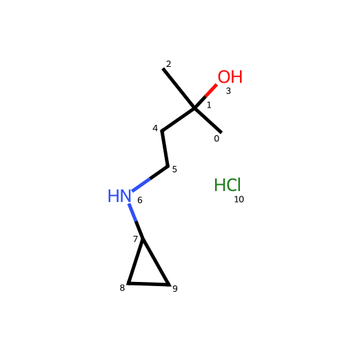 CC(C)(O)CCNC1CC1.Cl